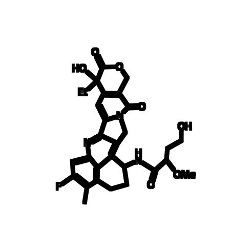 CCC1(O)C(=O)OCc2c1cc1n(c2=O)Cc2c-1nc1cc(F)c(C)c3c1c2C(NC(=O)C(CCO)OC)CC3